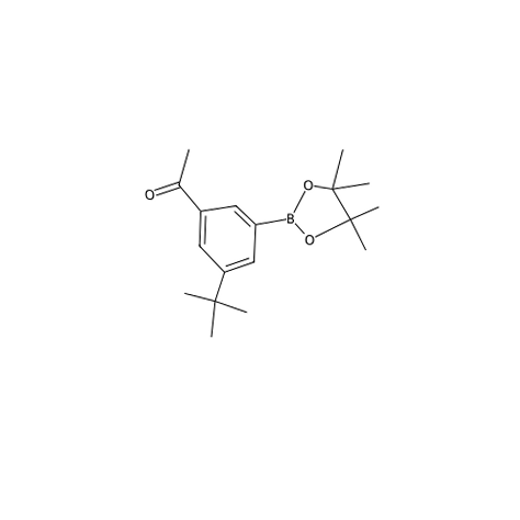 CC(=O)c1cc(B2OC(C)(C)C(C)(C)O2)cc(C(C)(C)C)c1